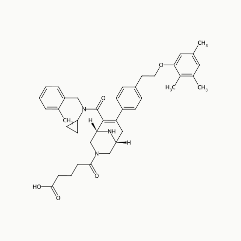 Cc1cc(C)c(C)c(OCCc2ccc(C3=C(C(=O)N(Cc4ccccc4C)C4CC4)[C@H]4CN(C(=O)CCCC(=O)O)C[C@@H](C3)N4)cc2)c1